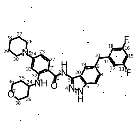 O=C(Nc1n[nH]c2ccc(Cc3cc(F)cc(F)c3)cc12)c1ccc(N2CCCCC2)cc1NC1CCOCC1